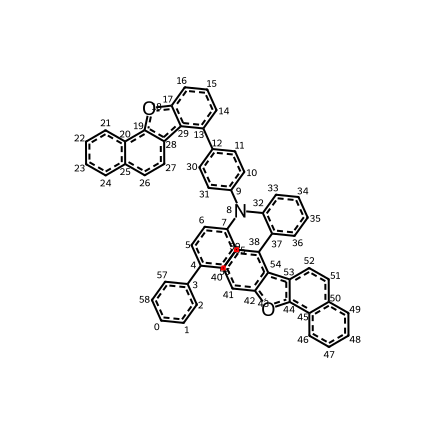 c1ccc(-c2ccc(N(c3ccc(-c4cccc5oc6c7ccccc7ccc6c45)cc3)c3ccccc3-c3cccc4oc5c6ccccc6ccc5c34)cc2)cc1